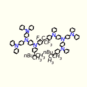 CCCCC(C)(C)c1ccc(N(c2ccccc2)c2ccc(N(c3ccc(N(c4ccccc4)c4ccccc4)cc3)c3ccc(N(c4ccccc4)c4ccc(C(c5ccc(N(c6ccc(N(c7ccc(N(c8ccccc8)c8ccccc8)cc7)c7ccc(N(c8ccccc8)c8ccccc8)cc7)cc6)c6ccc(C(C)(C)CCCC)cc6)cc5)(C(F)(F)F)C(F)(F)F)cc4)cc3)cc2)cc1